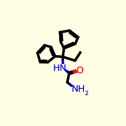 CCC(NC(=O)CN)(c1ccccc1)c1ccccc1